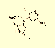 COC[C@H](c1cc(N)nnc1Cl)N1C[C@@H](C(F)(F)F)NC1=O